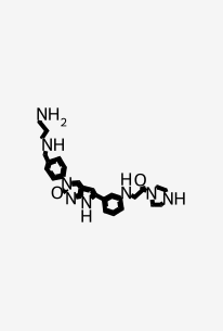 NCCCNCc1ccc(-n2cc3cc(-c4cccc(NCC(=O)N5CCNCC5)c4)[nH]c3nc2=O)cc1